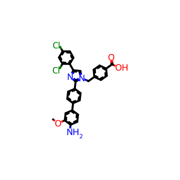 COc1cc(-c2ccc(-c3nc(-c4ccc(Cl)cc4Cl)cn3Cc3ccc(C(=O)O)cc3)cc2)ccc1N